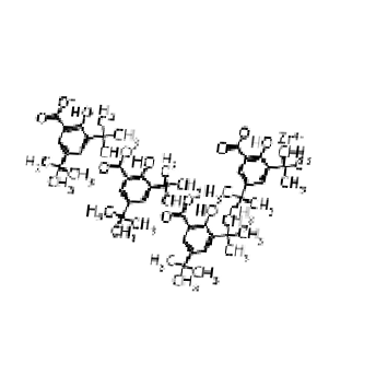 CC(C)(C)c1cc(C(=O)[O-])c(O)c(C(C)(C)C)c1.CC(C)(C)c1cc(C(=O)[O-])c(O)c(C(C)(C)C)c1.CC(C)(C)c1cc(C(=O)[O-])c(O)c(C(C)(C)C)c1.CC(C)(C)c1cc(C(=O)[O-])c(O)c(C(C)(C)C)c1.[Zr+4]